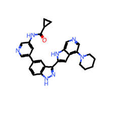 O=C(Nc1cncc(-c2ccc3[nH]nc(-c4cc5c(N6CCCCC6)cncc5[nH]4)c3c2)c1)C1CC1